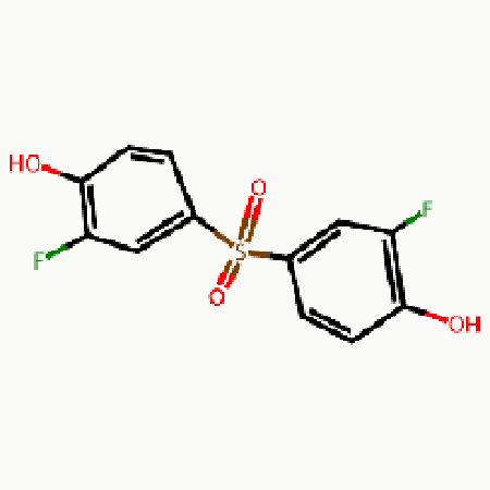 O=S(=O)(c1ccc(O)c(F)c1)c1ccc(O)c(F)c1